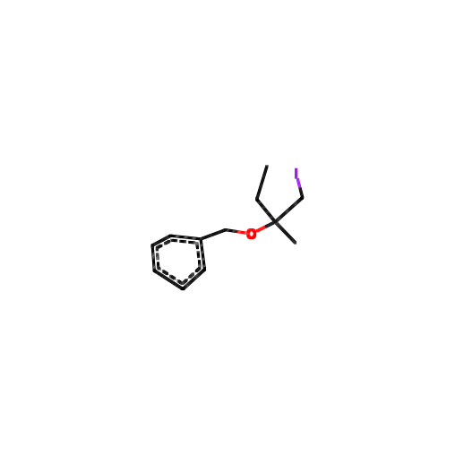 CCC(C)(CI)OCc1ccccc1